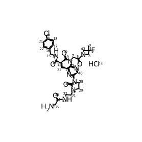 CC1(F)CN(C(=O)Cn2c(=O)c(C(=O)NCc3ccc(Cl)cc3)cc3nc(N4CCN(CCNC(=O)CN)C4=O)cnc32)C1.Cl